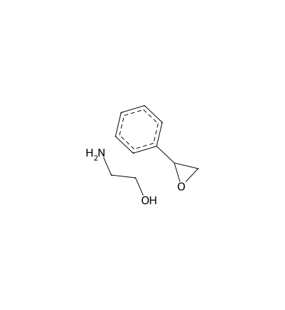 NCCO.c1ccc(C2CO2)cc1